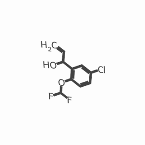 C=CC(O)c1cc(Cl)ccc1OC(F)F